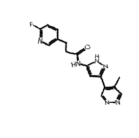 Cc1cnncc1-c1cc(NC(=O)CCc2ccc(F)nc2)[nH]n1